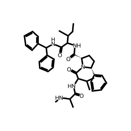 CCC(C)C(NC(=O)[C@@H]1CC[C@H](c2ccccc2)N1C(=O)C(NC(=O)C(C)NC)C(C)C)C(=O)NC(c1ccccc1)c1ccccc1